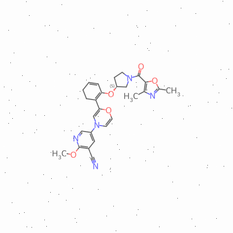 COc1ncc(N2C=COC(C3=C(O[C@H]4CCN(C(=O)c5oc(C)nc5C)C4)C=CCC3)=C2)cc1C#N